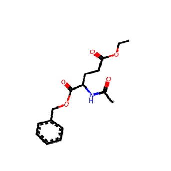 CCOC(=O)CCC(NC(C)=O)C(=O)OCc1ccccc1